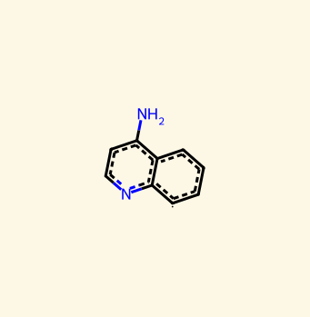 Nc1ccnc2[c]cccc12